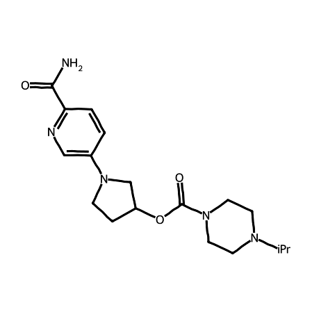 CC(C)N1CCN(C(=O)OC2CCN(c3ccc(C(N)=O)nc3)C2)CC1